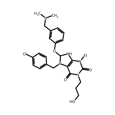 CCn1c2c(c(=O)n(CCCO)c1=O)N(Cc1ccc(Cl)cc1)C(Oc1cccc(CN(C)C)c1)N2